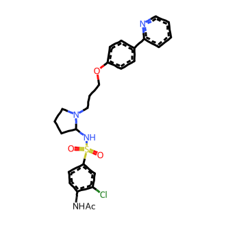 CC(=O)Nc1ccc(S(=O)(=O)NC2CCCN2CCCOc2ccc(-c3ccccn3)cc2)cc1Cl